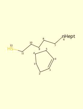 C1=CCCCC1.CCCCCCCCCCCCS